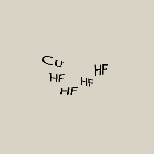 F.F.F.F.[Cu]